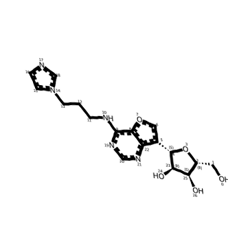 OC[C@H]1O[C@@H](c2coc3c(NCCCn4ccnc4)ncnc23)[C@H](O)[C@@H]1O